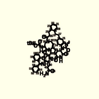 Cn1c(=O)n(C2CCC(=O)NC2=O)c2ccc(CCc3ccccc3CCC(=O)N3C/C=C4/CC[C@@H](C(=O)N[C@@H](CCC(N)=O)C(=O)NC(c5ccccc5)c5ccccc5)N4C(=O)[C@@H](NC(=O)OC(C)(C)C)C3)cc21